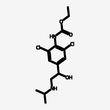 CCOC(=O)Nc1c(Cl)cc(C(O)CNC(C)C)cc1Cl